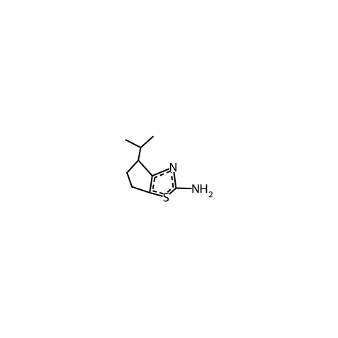 CC(C)C1CCc2sc(N)nc21